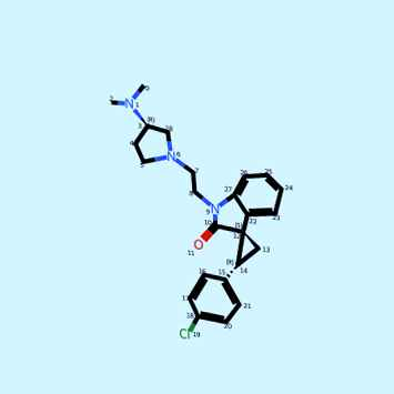 CN(C)[C@@H]1CCN(CCN2C(=O)[C@]3(C[C@@H]3c3ccc(Cl)cc3)c3ccccc32)C1